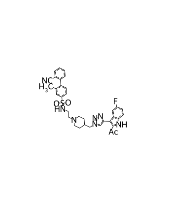 CC(=O)c1[nH]c2ccc(F)cc2c1-c1cn(CC2CCN(CCNS(=O)(=O)c3ccc(-c4ccccc4C#N)c(C)c3)CC2)nn1